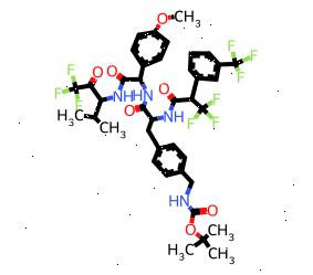 COc1ccc(C(NC(=O)C(Cc2ccc(CNC(=O)OC(C)(C)C)cc2)NC(=O)C(c2cccc(C(F)(F)F)c2)C(F)(F)F)C(=O)NC(C(=O)C(F)(F)F)C(C)C)cc1